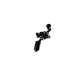 CC1=C(C(=O)OCCCC(F)(F)C(F)(F)C(F)(F)C(F)(F)C(F)(F)C(F)(F)F)C(c2cccc([N+](=O)[O-])c2)C(C(=O)OCCN(C)Cc2ccccc2)=C(C)N1